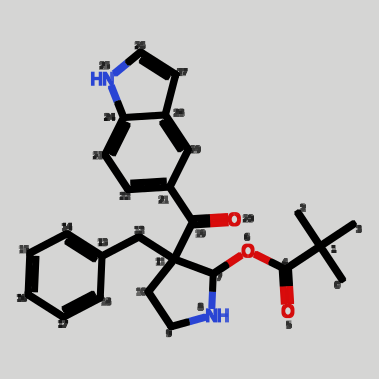 CC(C)(C)C(=O)OC1NCCC1(Cc1ccccc1)C(=O)c1ccc2[nH]ccc2c1